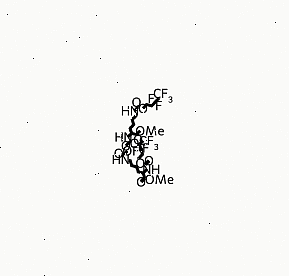 COC(=O)C(CCCCNC(=O)OOC(=O)NC(CCCCNC(=O)OCCC(F)(F)CC(F)(F)F)C(=O)OC)NC(=O)OCCC(F)(F)CC(F)(F)F